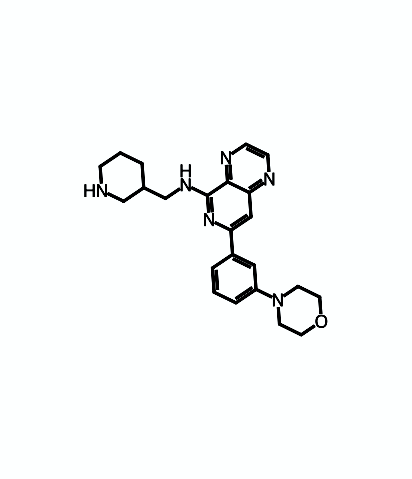 c1cc(-c2cc3nccnc3c(NCC3CCCNC3)n2)cc(N2CCOCC2)c1